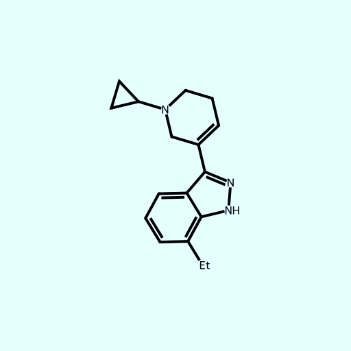 CCc1cccc2c(C3=CCCN(C4CC4)C3)n[nH]c12